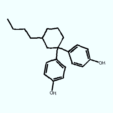 CCCCC1CCCC(c2ccc(O)cc2)(c2ccc(O)cc2)C1